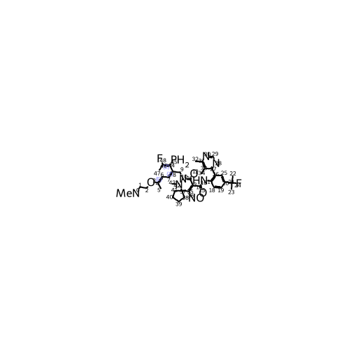 CNCCO/C(C)=C/C=C(CN1C(=O)C(C(=O)Nc2ccc(C(C)(C)F)cc2-c2ncnc(C)c2C)=C(N=O)C2(CCCC2)N1C)\C(P)=C(/C)F